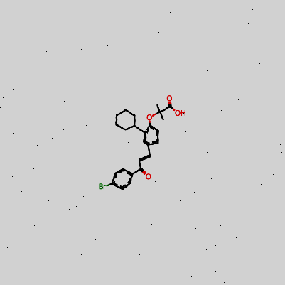 CC(C)(Oc1ccc(/C=C/C(=O)c2ccc(Br)cc2)cc1C1CCCCC1)C(=O)O